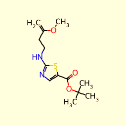 C=C(CCNc1ncc(C(=O)OC(C)(C)C)s1)OC